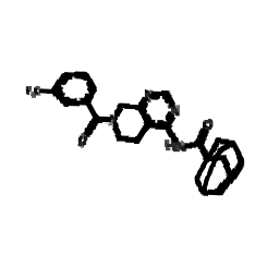 O=C(c1cccc(C(F)(F)F)c1)N1CCc2c(ncnc2NC(=O)C23CC4CC(CC(C4)C2)C3)C1